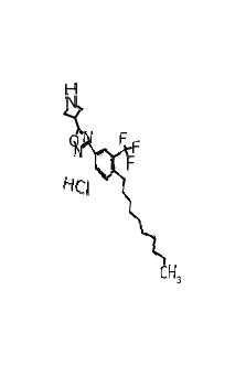 CCCCCCCCCCc1ccc(-c2noc(C3CNC3)n2)cc1C(F)(F)F.Cl